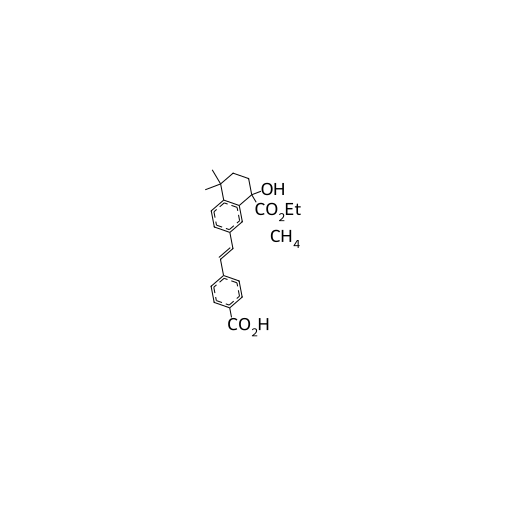 C.CCOC(=O)C1(O)CCC(C)(C)c2ccc(C=Cc3ccc(C(=O)O)cc3)cc21